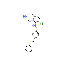 Clc1ccc2c(c1NCc1ccc(CSC3CCCCC3)cc1)CCNCC2